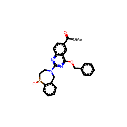 COC(=O)c1ccc2nc(N3CC[S+]([O-])c4ccccc4C3)nc(OCc3ccccc3)c2c1